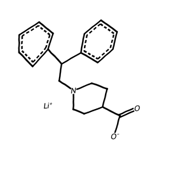 O=C([O-])C1CCN(CC(c2ccccc2)c2ccccc2)CC1.[Li+]